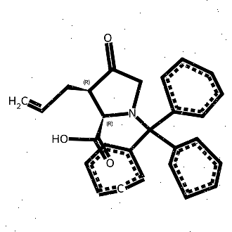 C=CC[C@H]1C(=O)CN(C(c2ccccc2)(c2ccccc2)c2ccccc2)[C@H]1C(=O)O